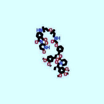 CC[C@H](C(=O)N1CCCC[C@H]1C(=O)O[C@H](CCc1ccc(OC)c(OC)c1)c1cccc(OCC(=O)NCCC(C)(C)OCCC(C)(C)Nc2ccc3c(c2)C(=O)N(C2CCC(=O)NC2=O)C3=O)c1)c1cc(OC)c(OC)c(OC)c1